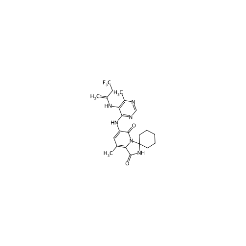 C=C(CC(F)(F)F)Nc1c(C)ncnc1Nc1cc(C)c2n(c1=O)C1(CCCCC1)NC2=O